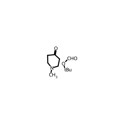 CC(C)(C)OC=O.CN1CCC(=O)CC1